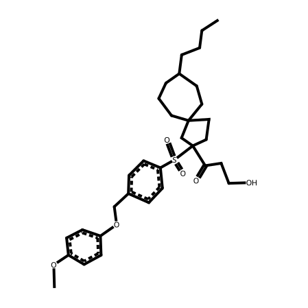 CCCCC1CCCC2(CC1)CCC(C(=O)CCO)(S(=O)(=O)c1ccc(COc3ccc(OC)cc3)cc1)C2